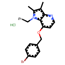 Cc1c(C)n(CC(C)C)c2c(OCc3ccc(Br)cc3)ccnc12.Cl